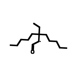 CCCCCC([CH]C=O)(CC)CCCCC